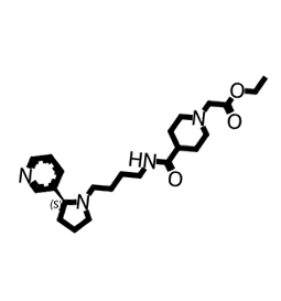 CCOC(=O)CN1CCC(C(=O)NCCCCN2CCC[C@H]2c2cccnc2)CC1